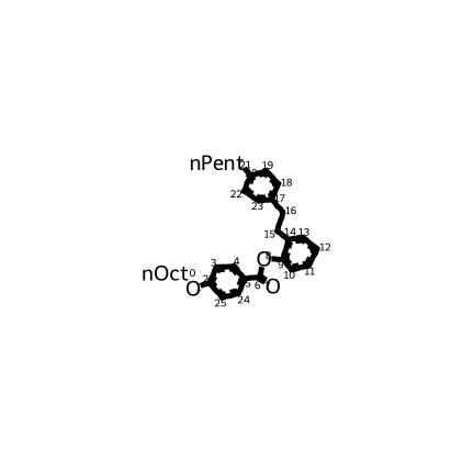 CCCCCCCCOc1ccc(C(=O)Oc2ccccc2CCc2ccc(CCCCC)cc2)cc1